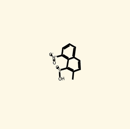 Cc1ccc2cccc([N+](=O)[O-])c2c1S(=O)O